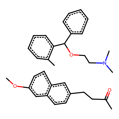 COc1ccc2cc(CCC(C)=O)ccc2c1.Cc1ccccc1C(OCCN(C)C)c1ccccc1